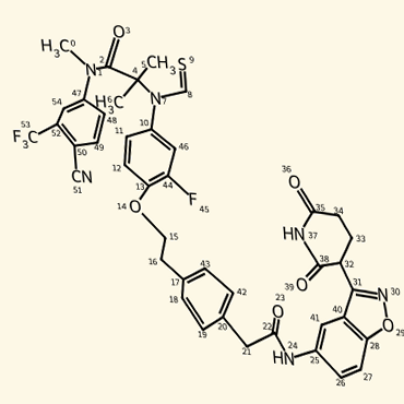 CN(C(=O)C(C)(C)N(C=S)c1ccc(OCCc2ccc(CC(=O)Nc3ccc4onc(C5CCC(=O)NC5=O)c4c3)cc2)c(F)c1)c1ccc(C#N)c(C(F)(F)F)c1